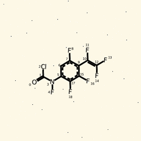 O=C(Cl)N(F)c1cc(F)c(C(F)=C(F)F)c(F)c1F